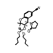 CCCCOP(=O)(OCCCC)O[C@@H]1[C@@H](N2CCCC2=O)c2cc(C#N)ccc2OC1(C)C